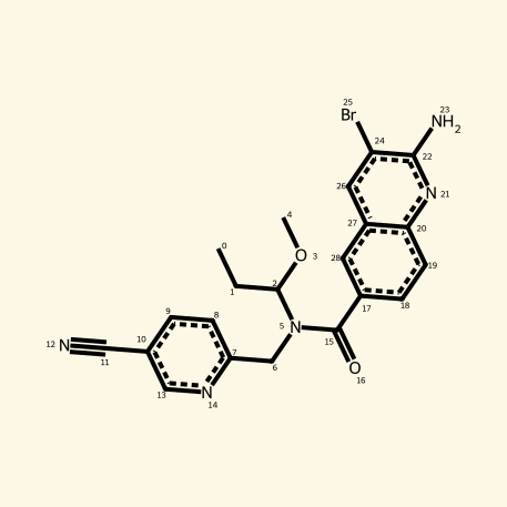 CCC(OC)N(Cc1ccc(C#N)cn1)C(=O)c1ccc2nc(N)c(Br)cc2c1